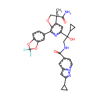 C[C@]1(C(N)=O)COc2c1cc(C(O)(CNC(=O)c1ccn3nc(C4CC4)cc3c1)C1CC1)nc2-c1ccc2c(c1)OC(F)(F)O2